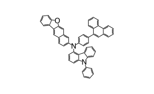 c1ccc(-n2c3ccccc3c3c(N(c4ccc(-c5cc6ccccc6c6ccccc56)cc4)c4ccc5cc6c(cc5c4)oc4ccccc46)cccc32)cc1